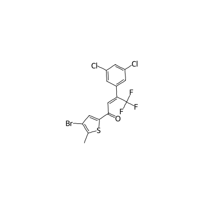 Cc1sc(C(=O)C=C(c2cc(Cl)cc(Cl)c2)C(F)(F)F)cc1Br